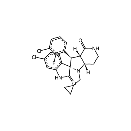 O=C1NCC[C@H]2[C@@H]1[C@H](c1cccc(Cl)c1F)[C@]1(C(=O)Nc3cc(Cl)ccc31)N2CC1CC1